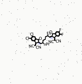 CCCC(/C=C1\C(=O)c2cc(Cl)c(Cl)cc2C1=C(C#N)C#N)CCCC(/C=C1\C(=O)c2cc(F)c(F)cc2C1=C(C#N)C#N)CC